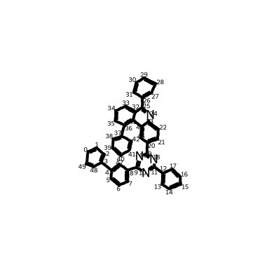 c1ccc(-c2cccc(-c3nc(-c4ccccc4)nc(-c4ccc5nc(-c6ccccc6)c6cccc(-c7ccccc7)c6c5c4)n3)c2)cc1